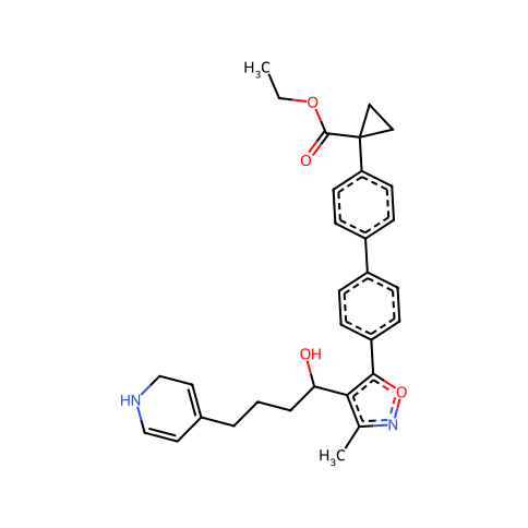 CCOC(=O)C1(c2ccc(-c3ccc(-c4onc(C)c4C(O)CCCC4=CCNC=C4)cc3)cc2)CC1